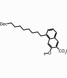 CCCCCCCCCCCCCCCCCCc1cccc2cc(C(=O)O)c(OI)cc12